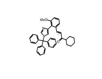 COc1cccc(/C=C/C(=O)C2CCCCC2)c1-c1cn(C(c2ccccc2)(c2ccccc2)c2ccccc2)cn1